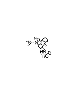 CCN(CC)CCNc1ccc(CNC(=O)O)c2sc3ccccc3c(=O)c12